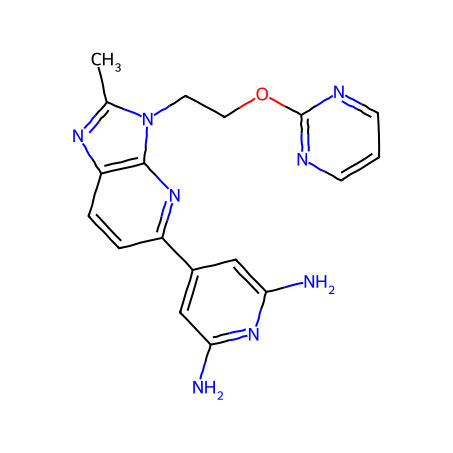 Cc1nc2ccc(-c3cc(N)nc(N)c3)nc2n1CCOc1ncccn1